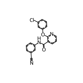 N#Cc1cccc(NC(=O)c2cccnc2Oc2cccc(Cl)c2)c1